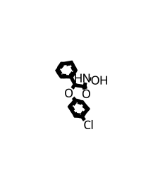 O=C(NO)C(Oc1ccc(Cl)cc1)c1ccccc1